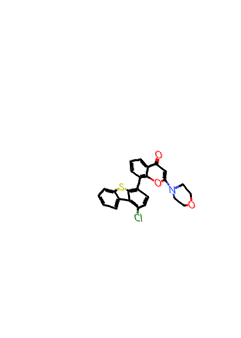 O=c1cc(N2CCOCC2)oc2c(-c3ccc(Cl)c4c3sc3ccccc34)cccc12